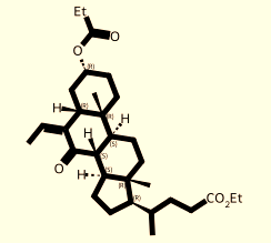 CC=C1C(=O)[C@@H]2[C@H](CC[C@]3(C)[C@@H](C(C)CCC(=O)OCC)CC[C@@H]23)[C@@]2(C)CC[C@@H](OC(=O)CC)C[C@@H]12